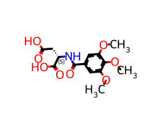 COc1cc(C(=O)N[C@@H](CC(=O)O)C(=O)O)cc(OC)c1OC